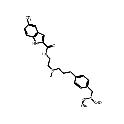 CN(CCCc1ccc(CN(C=O)OC(C)(C)C)cc1)CCNC(=O)c1cc2cc(C(F)(F)F)ccc2[nH]1